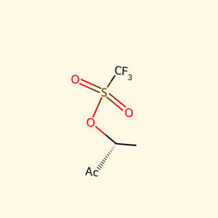 CC(=O)[C@@H](C)OS(=O)(=O)C(F)(F)F